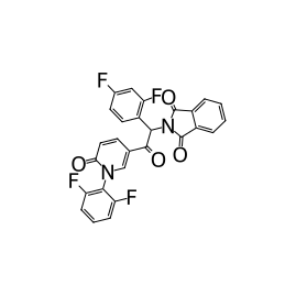 O=C(c1ccc(=O)n(-c2c(F)cccc2F)c1)C(c1ccc(F)cc1F)N1C(=O)c2ccccc2C1=O